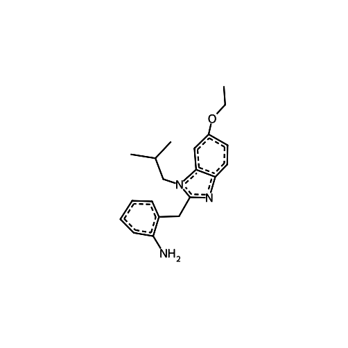 CCOc1ccc2nc(Cc3ccccc3N)n(CC(C)C)c2c1